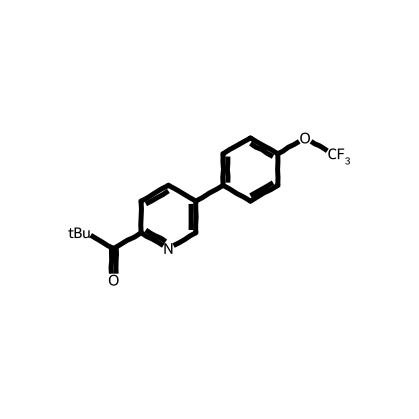 CC(C)(C)C(=O)c1ccc(-c2ccc(OC(F)(F)F)cc2)cn1